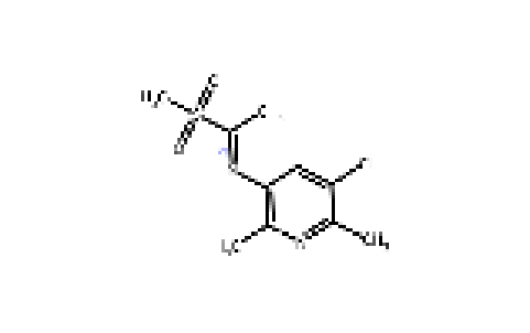 C/C(=N\c1cc(Cl)c(C)nc1C)S(C)(=O)=O